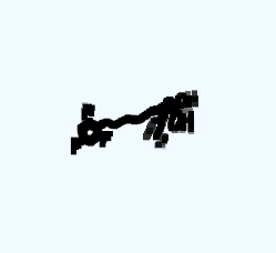 OC(O)O[SiH2]CCCCCc1c(F)cc(F)cc1F